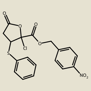 O=C1CC(Sc2ccccc2)C(Cl)(C(=O)OCc2ccc([N+](=O)[O-])cc2)O1